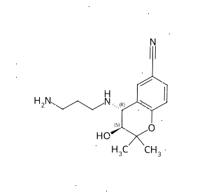 CC1(C)Oc2ccc(C#N)cc2[C@@H](NCCCN)[C@@H]1O